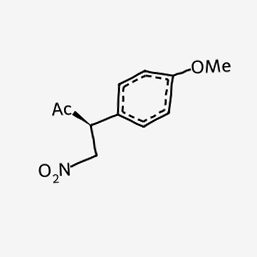 COc1ccc([C@@H](C[N+](=O)[O-])C(C)=O)cc1